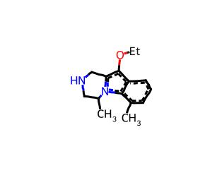 CCOc1c2n(c3c(C)cccc13)C(C)CNC2